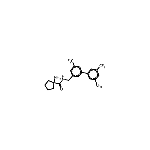 NC1(C(=O)NCc2cc(-c3cc(C(F)(F)F)cc(C(F)(F)F)c3)cc(C(F)(F)F)c2)CCCC1